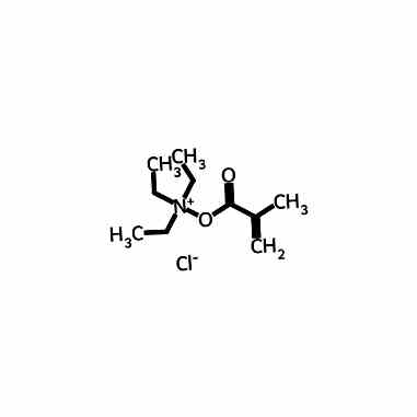 C=C(C)C(=O)O[N+](CC)(CC)CC.[Cl-]